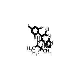 CC(Nc1c(-c2c(F)cc(I)cc2F)c(Cl)nc2ncnn12)C(C)(C)C